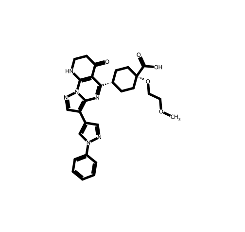 COCCO[C@]1(C(=O)O)CC[C@H](c2nc3c(-c4cnn(-c5ccccc5)c4)cnn3c3c2C(=O)CCN3)CC1